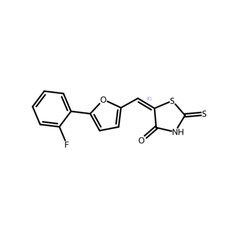 O=C1NC(=S)S/C1=C/c1ccc(-c2ccccc2F)o1